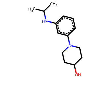 CC(C)Nc1cccc(N2CCC(O)CC2)c1